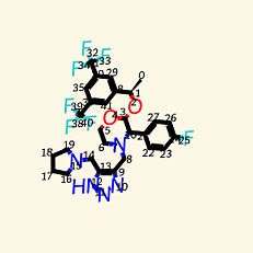 C[C@@H](OC1OCCN(Cc2nn[nH]c2CN2CCCC2)C1c1ccc(F)cc1)c1cc(C(F)(F)F)cc(C(F)(F)F)c1